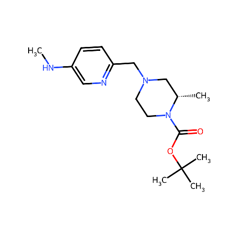 CNc1ccc(CN2CCN(C(=O)OC(C)(C)C)[C@@H](C)C2)nc1